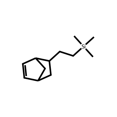 C[Si](C)(C)CCC1CC2C=CC1C2